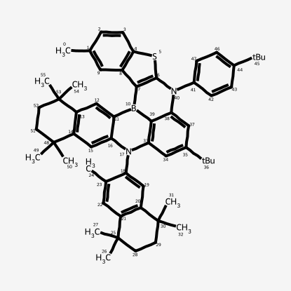 Cc1ccc2sc3c(c2c1)B1c2cc4c(cc2N(c2cc5c(cc2C)C(C)(C)CCC5(C)C)c2cc(C(C)(C)C)cc(c21)N3c1ccc(C(C)(C)C)cc1)C(C)(C)CCC4(C)C